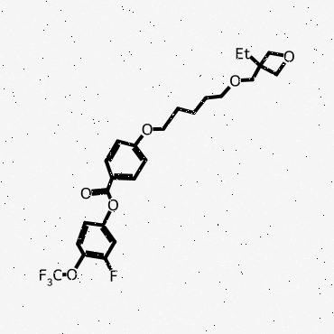 CCC1(COCCCCCOc2ccc(C(=O)Oc3ccc(OC(F)(F)F)c(F)c3)cc2)COC1